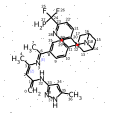 C=C(/C=C(C)\N=C(/C)c1ccc(N2CC3CC(C2)N3Cc2ccc(C(F)(F)P)nc2)nc1)Nc1cc(C)[nH]n1